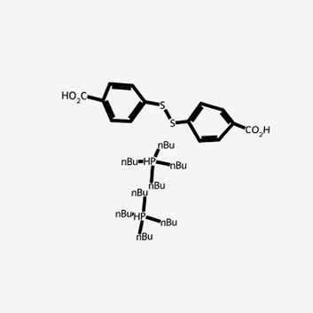 CCCC[PH](CCCC)(CCCC)CCCC.CCCC[PH](CCCC)(CCCC)CCCC.O=C(O)c1ccc(SSc2ccc(C(=O)O)cc2)cc1